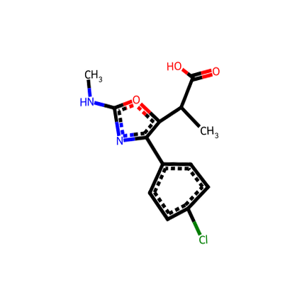 CNc1nc(-c2ccc(Cl)cc2)c(C(C)C(=O)O)o1